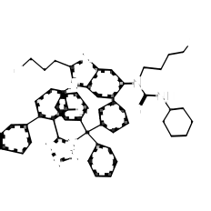 CCCCCN(C(=O)NC1CCCCC1)c1ccc2c(c1)nc(CCCC)n2-c1ccc(-c2ccccc2)c(-c2nnnn2C(c2ccccc2)(c2ccccc2)c2ccccc2)c1C